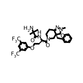 CN1N=C2CCN(C(=O)[C@@H](CCOc3cc(C(F)(F)F)cc(C(F)(F)F)c3)NC(=O)C(C)(C)N)C[C@@]2(Cc2ccccc2)C1=O